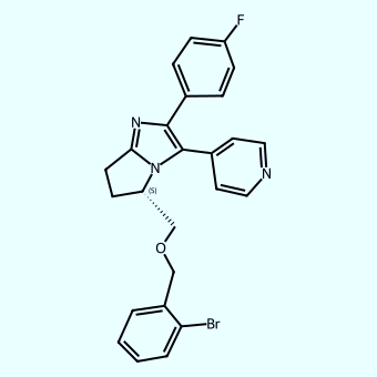 Fc1ccc(-c2nc3n(c2-c2ccncc2)[C@H](COCc2ccccc2Br)CC3)cc1